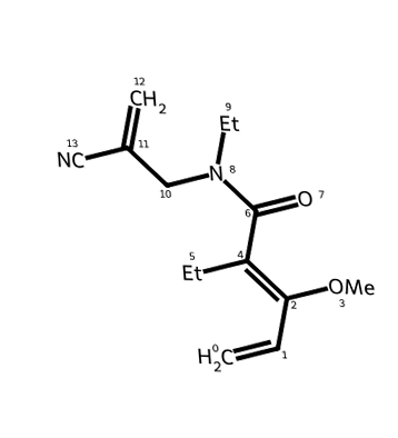 C=C/C(OC)=C(\CC)C(=O)N(CC)CC(=C)C#N